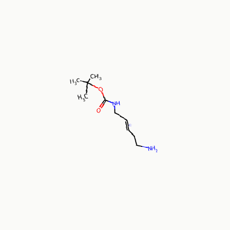 CC(C)(C)OC(=O)NC/C=C/CCN